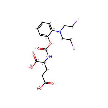 O=C(O)CC[C@H](NC(=O)Oc1ccccc1N(CCI)CCI)C(=O)O